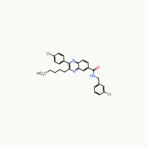 O=C(O)CCCCc1nc2cc(C(=O)NCc3cccc(Cl)c3)ccc2nc1-c1ccc(Cl)cc1